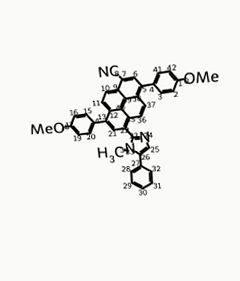 COc1ccc(-c2cc(C#N)c3ccc4c(-c5ccc(OC)cc5)cc(-c5ncc(-c6ccccc6)n5C)c5ccc2c3c45)cc1